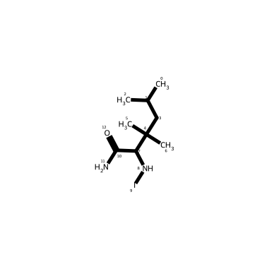 CC(C)CC(C)(C)C(NI)C(N)=O